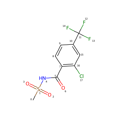 CS(=O)(=O)NC(=O)c1ccc(C(F)(F)F)cc1Cl